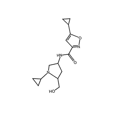 O=C(NC1CC(CO)N(C2CC2)C1)c1cc(C2CC2)on1